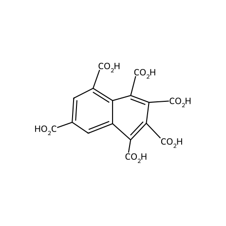 O=C(O)c1cc(C(=O)O)c2c(C(=O)O)c(C(=O)O)c(C(=O)O)c(C(=O)O)c2c1